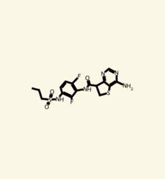 CCCS(=O)(=O)Nc1ccc(F)c(NC(=O)C2CSc3c(N)ncnc32)c1F